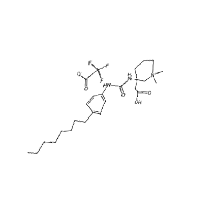 CCCCCCCCc1ccc(NC(=O)NC2(CC(=O)O)CCC[N+](C)(C)C2)cc1.O=C([O-])C(F)(F)F